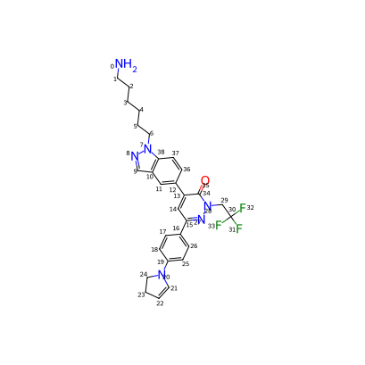 NCCCCCCn1ncc2cc(-c3cc(-c4ccc(N5C=CCC5)cc4)nn(CC(F)(F)F)c3=O)ccc21